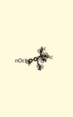 C=C(C)C(=O)OCCCc1cc(-c2ccc(OCCCCCCCC)c(F)c2)ccc1OCC(COC(=O)CC(C)=O)(COC(=O)CC(C)=O)COC(=O)C(=C)C